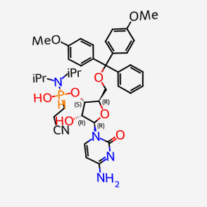 COc1ccc(C(OC[C@H]2O[C@@H](n3ccc(N)nc3=O)[C@H](O)[C@@H]2O[PH](O)(CCC#N)N(C(C)C)C(C)C)(c2ccccc2)c2ccc(OC)cc2)cc1